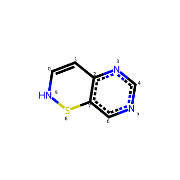 C1=Cc2ncncc2SN1